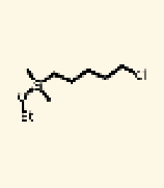 CCO[Si](C)(C)CCCCCCl